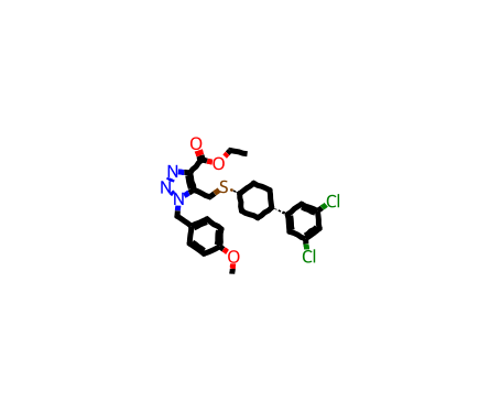 CCOC(=O)c1nnn(Cc2ccc(OC)cc2)c1CS[C@H]1CC[C@@H](c2cc(Cl)cc(Cl)c2)CC1